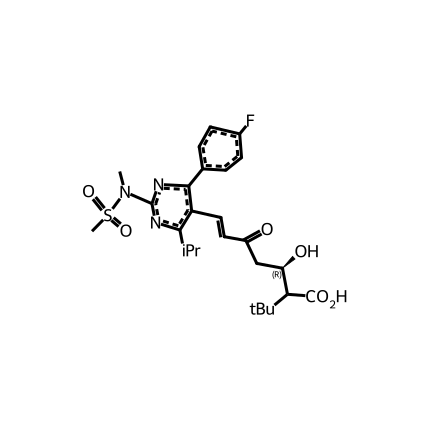 CC(C)c1nc(N(C)S(C)(=O)=O)nc(-c2ccc(F)cc2)c1C=CC(=O)C[C@@H](O)C(C(=O)O)C(C)(C)C